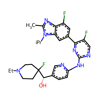 CCN1CCC(F)([C@@H](O)c2ccc(Nc3ncc(F)c(-c4cc(F)c5nc(C)n(C(C)C)c5c4)n3)nc2)CC1